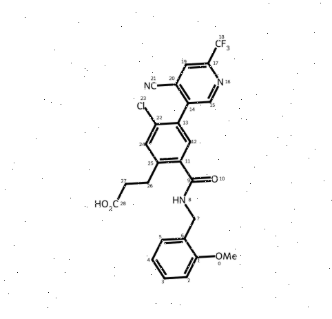 COc1ccccc1CNC(=O)c1cc(-c2cnc(C(F)(F)F)cc2C#N)c(Cl)cc1CCC(=O)O